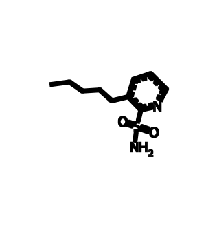 CCCCCc1cccnc1S(N)(=O)=O